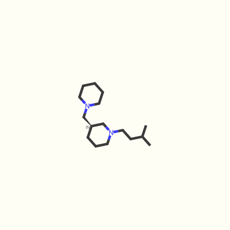 CC(C)CCN1CCC[C@@H](CN2CCCCC2)C1